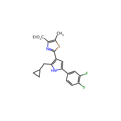 CCOC(=O)c1nc(-c2cc(-c3ccc(F)c(F)c3)[nH]c2CC2CC2)sc1C